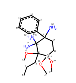 CCCC1(OC)C(N)(N)C(N)(c2ccccc2)CC[Si]1(OC)OC